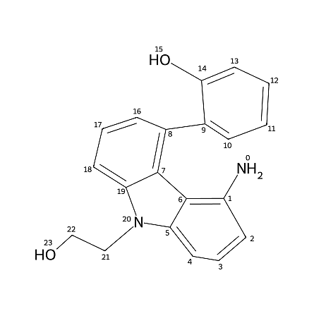 Nc1cccc2c1c1c(-c3ccccc3O)cccc1n2CCO